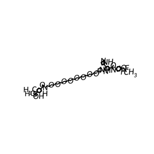 Cc1cc(C(=O)NCCOCCOCCOCCOCCOCCOCCOCCO[C@@H]2CCN(c3ncc(C(=O)Nc4ccc(OC(C)(F)F)cc4)cc3-c3ccn[nH]3)C2)ccc1B(O)O